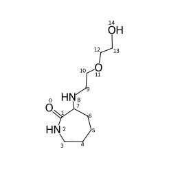 O=C1NCCCCC1NCCOCCO